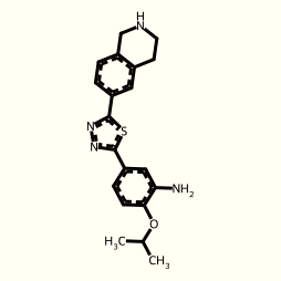 CC(C)Oc1ccc(-c2nnc(-c3ccc4c(c3)CCNC4)s2)cc1N